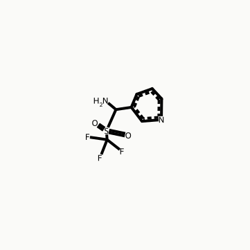 NC(c1cccnc1)S(=O)(=O)C(F)(F)F